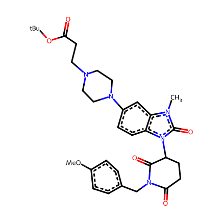 COc1ccc(CN2C(=O)CCC(n3c(=O)n(C)c4cc(N5CCN(CCC(=O)OC(C)(C)C)CC5)ccc43)C2=O)cc1